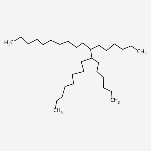 CCCCCCCCCC[C](CCCCCC)C(CCCCCC)CCCCCCCC